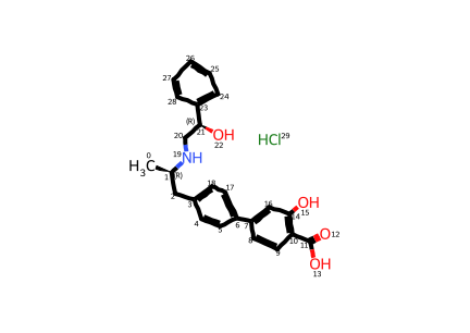 C[C@H](Cc1ccc(-c2ccc(C(=O)O)c(O)c2)cc1)NC[C@H](O)c1ccccc1.Cl